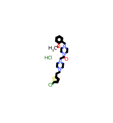 COc1ccccc1CN1CCN(C(=O)CN2CCN(CCc3ccc(Cl)s3)CC2)CC1.Cl